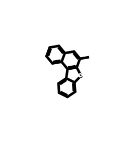 Cc1cc2ccccc2c2c1sc1ccccc12